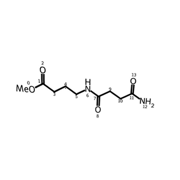 COC(=O)C[CH]CNC(=O)CCC(N)=O